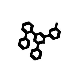 Cc1cccc(-c2cc(-c3ccccc3-c3ccccc3)nc(-c3ccccc3)n2)c1